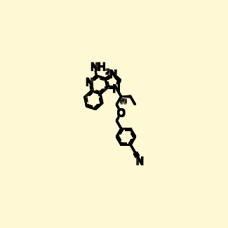 CC[C@@H](COCc1ccc(C#N)cc1)n1cnc2c(N)nc3ccccc3c21